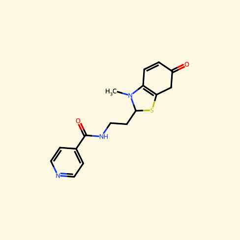 CN1C2=C(CC(=O)C=C2)SC1CCNC(=O)c1ccncc1